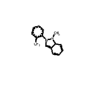 Cc1ccccc1N1C=C2C=CC=CC2N1C